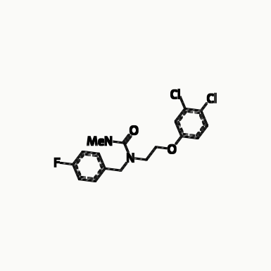 CNC(=O)N(CCOc1ccc(Cl)c(Cl)c1)Cc1ccc(F)cc1